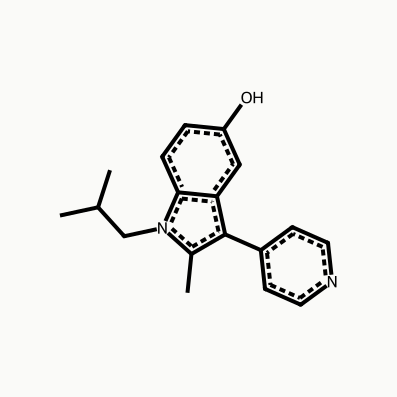 Cc1c(-c2ccncc2)c2cc(O)ccc2n1CC(C)C